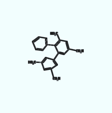 O=C(O)c1cc(C(=O)O)cc(-c2cc(C(=O)O)cc(C(=O)O)c2-c2ccccc2)c1